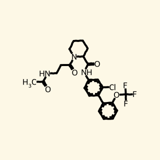 CC(=O)NCCC(=O)N1CCCCC1C(=O)Nc1ccc(-c2ccccc2OC(F)(F)F)c(Cl)c1